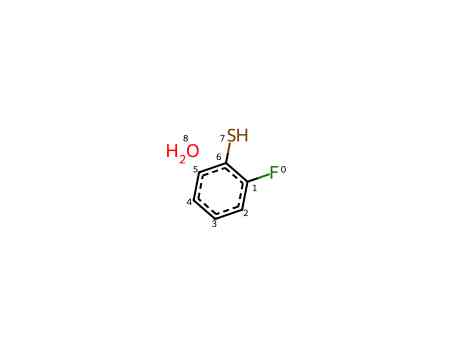 Fc1ccccc1S.O